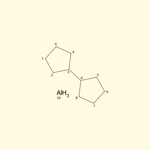 C1CCC(C2CCCC2)C1.[AlH3]